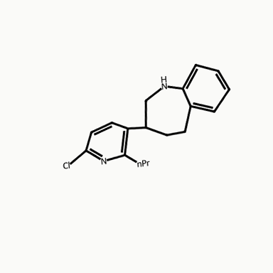 CCCc1nc(Cl)ccc1C1CCc2ccccc2NC1